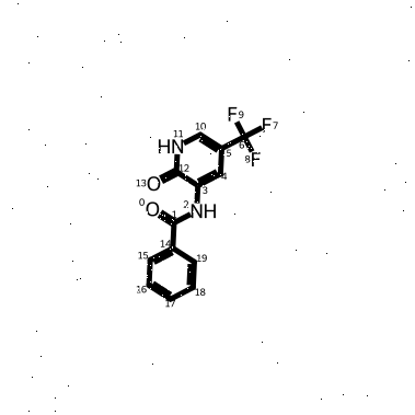 O=C(Nc1cc(C(F)(F)F)c[nH]c1=O)c1ccccc1